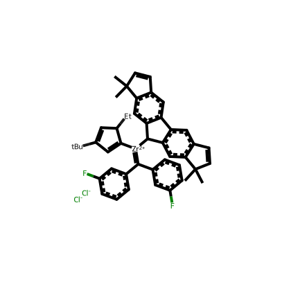 CCC1C=C(C(C)(C)C)C=[C]1[Zr+2](=[C](c1cccc(F)c1)c1cccc(F)c1)[CH]1c2cc3c(cc2-c2cc4c(cc21)C(C)(C)C=C4)C=CC3(C)C.[Cl-].[Cl-]